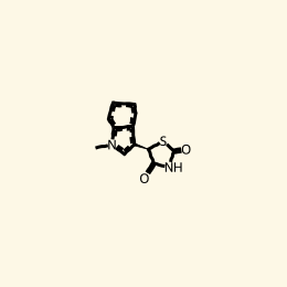 Cn1cc([C@H]2SC(=O)NC2=O)c2ccccc21